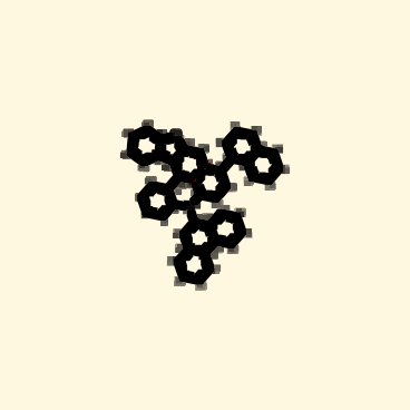 c1ccc(N(c2ccc(-c3cccc4ccccc34)cc2)c2cc3ccccc3c3ccccc23)c(-c2cccc3oc4ccccc4c23)c1